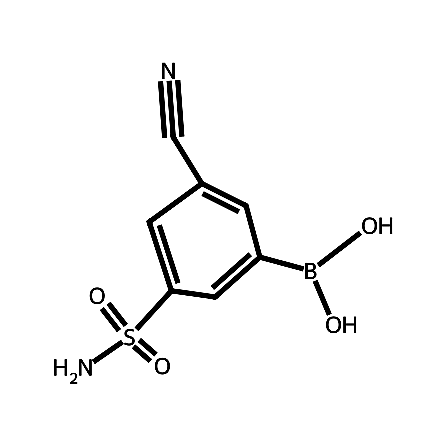 N#Cc1cc(B(O)O)cc(S(N)(=O)=O)c1